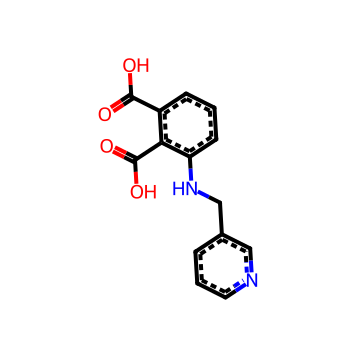 O=C(O)c1cccc(NCc2cccnc2)c1C(=O)O